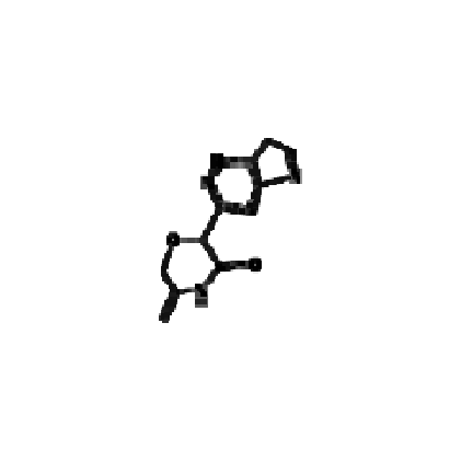 C=C1COC(c2cc3c(nn2)CC=N3)C(=O)N1